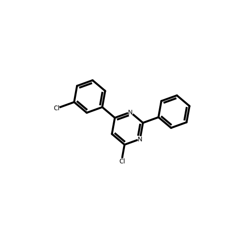 Clc1cccc(-c2cc(Cl)nc(-c3ccccc3)n2)c1